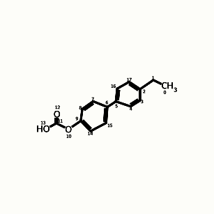 CCc1ccc(-c2ccc(OC(=O)O)cc2)cc1